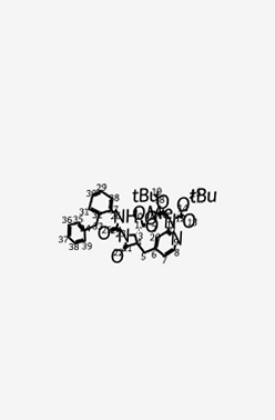 COC(=O)[C@@H]1C(Cc2ccnc(N(C(=O)OC(C)(C)C)C(=O)OC(C)(C)C)c2)C(=O)N1C(=O)Nc1ccccc1Cc1ccccc1